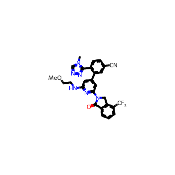 COCCNc1cc(-c2cc(C#N)ccc2-c2nncn2C)cc(N2Cc3c(cccc3C(F)(F)F)C2=O)n1